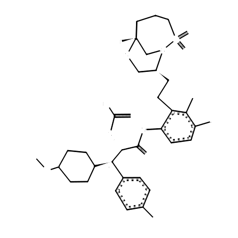 COC1CCC([C@H](c2ccc(F)cc2)[C@H](NC(=O)O)C(=O)Nc2ccc(F)c(F)c2CC[C@H]2CN[C@@H]3CCCS(=O)(=O)N2C3)CC1